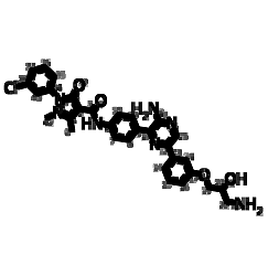 Cc1c(C(=O)Nc2ccc(-c3nc(-c4cccc(OCC(O)CN)c4)cnc3N)cc2)c(=O)n(-c2cccc(Cl)c2)n1C